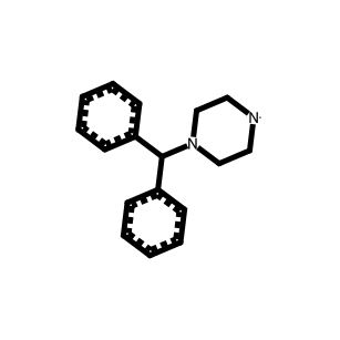 c1ccc(C(c2ccccc2)N2CC[N]CC2)cc1